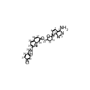 Nc1ncnc2c1ccn2[C@H]1CC[C@@H](COc2ccc3ccc(NCc4ccc(Cl)cc4)nc3c2)O1